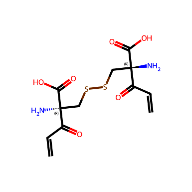 C=CC(=O)[C@](N)(CSSC[C@](N)(C(=O)O)C(=O)C=C)C(=O)O